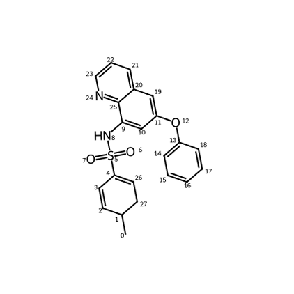 CC1C=CC(S(=O)(=O)Nc2cc(Oc3ccccc3)cc3cccnc23)=CC1